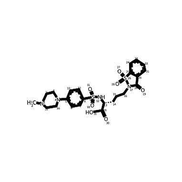 CN1CCN(c2ccc(S(=O)(=O)N[C@H](CCCN3C(=O)c4ccccc4S3(=O)=O)C(=O)O)cc2)CC1